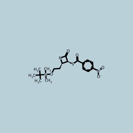 CC(C)(C)[Si](C)(C)OCC[C@H]1[N]C(=O)[C@H]1SC(=O)c1ccc([N+](=O)[O-])cc1